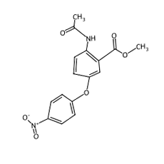 COC(=O)c1cc(Oc2ccc([N+](=O)[O-])cc2)ccc1NC(C)=O